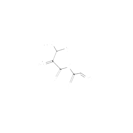 C=CC(=O)OC(=O)C(=C)C(C(C)=O)C(=O)O